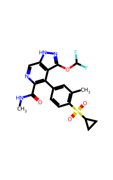 CNC(=O)c1ncc2[nH]nc(OC(F)F)c2c1-c1ccc(S(=O)(=O)C2CC2)c(C)c1